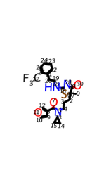 C[C@@]1(CCCN(C(=O)c2ccoc2)C2CC2)SC(NCCc2ccccc2C(F)(F)F)=NC1=O